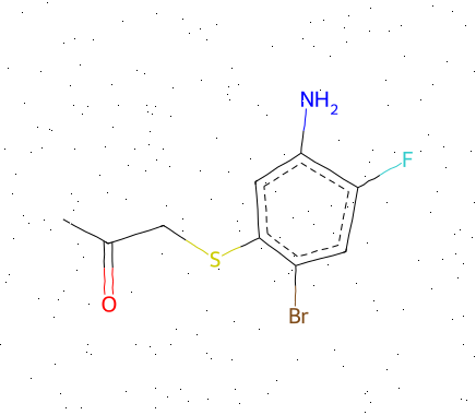 CC(=O)CSc1cc(N)c(F)cc1Br